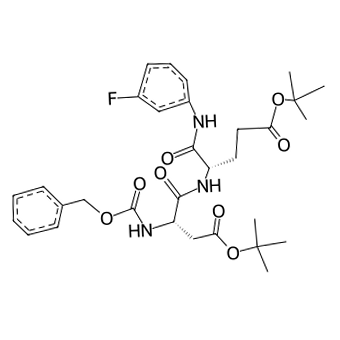 CC(C)(C)OC(=O)CC[C@H](NC(=O)[C@H](CC(=O)OC(C)(C)C)NC(=O)OCc1ccccc1)C(=O)Nc1cccc(F)c1